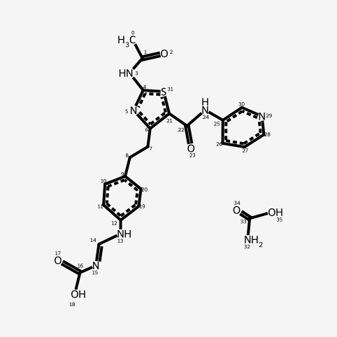 CC(=O)Nc1nc(CCc2ccc(NC=NC(=O)O)cc2)c(C(=O)Nc2cccnc2)s1.NC(=O)O